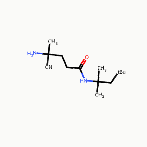 CC(C)(C)CC(C)(C)NC(=O)CCC(C)(N)C#N